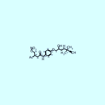 C#CC(C)(C)NCC(O)COc1ccc(NC(=O)CC(CO[N+](=O)[O-])C(C)=O)cc1